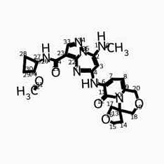 CNc1cc(Nc2ccc3n(c2=O)C2(CCOC2)COC3)nc2c(C(=O)N[C@@H]3CC[C@H]3OC)cnn12